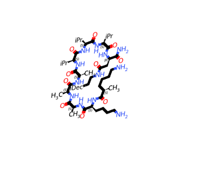 CCCCCCCCCCCCNC(=O)C[C@@H](NC(=O)[C@@H](NC(=O)[C@@H](NC(=O)[C@@H](NC(=O)[C@H](C)NC(=O)[C@H](C)NC(=O)[C@H](C)NC(=O)[C@H](CCCCN)NC(=O)[C@@H](C)CCCCN)C(C)C)C(C)C)C(C)C)C(N)=O